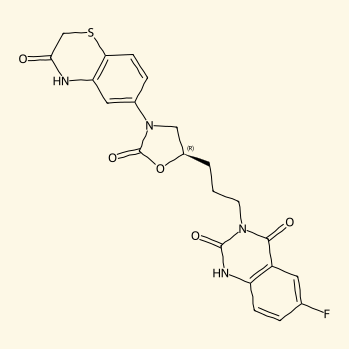 O=C1CSc2ccc(N3C[C@@H](CCCn4c(=O)[nH]c5ccc(F)cc5c4=O)OC3=O)cc2N1